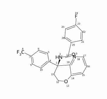 O=C(N[C@]1(c2ccc(C(F)(F)F)cc2)CCOc2cccnc21)c1ccc(F)cc1